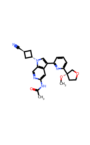 CO[C@@]1(c2cccc(-c3cn([C@H]4C[C@H](C#N)C4)c4cnc(NC(C)=O)cc34)n2)CCOC1